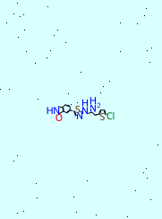 NC(CNc1ncc(-c2ccc3c(c2)C(=O)NC3)s1)Cc1ccc(Cl)s1